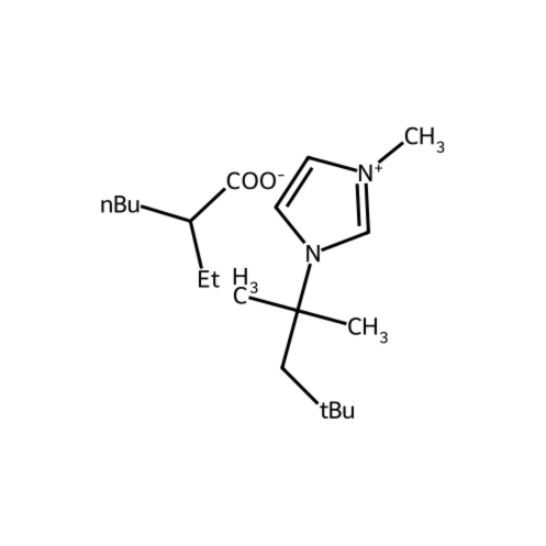 CCCCC(CC)C(=O)[O-].C[n+]1ccn(C(C)(C)CC(C)(C)C)c1